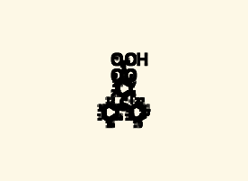 O=C([O-])C(=O)O.c1ccc([S+](c2ccccc2)c2ccccc2)cc1